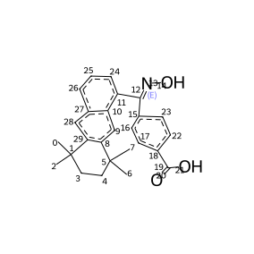 CC1(C)CCC(C)(C)c2cc3c(/C(=N/O)c4ccc(C(=O)O)cc4)cccc3cc21